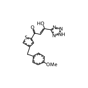 COc1ccc(Cc2csc(C(=O)C=C(O)c3nn[nH]n3)c2)cc1